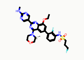 CCOc1cc(-c2cccc(NS(=O)(=O)CCCF)c2F)cc2c(N3CCOC[C@H]3C)nc(-c3cnc(NC)nc3)nc12